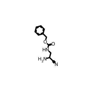 N#CC(N)CNC(=O)OCc1ccccc1